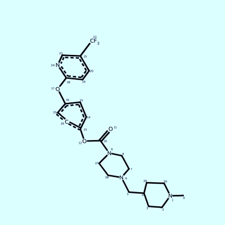 CN1CCC(CN2CCN(C(=O)Oc3ccc(Oc4ccc(C(F)(F)F)cn4)cc3)CC2)CC1